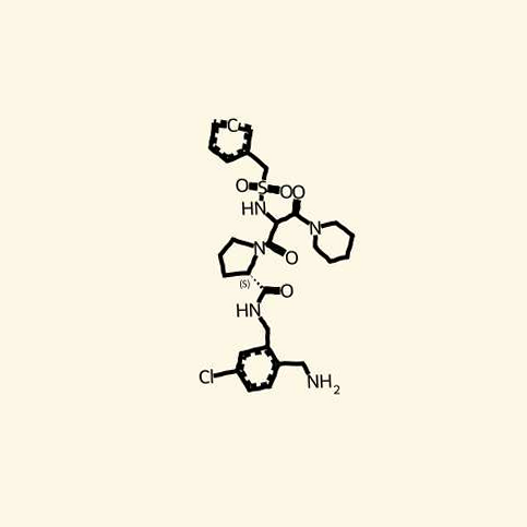 NCc1ccc(Cl)cc1CNC(=O)[C@@H]1CCCN1C(=O)C(NS(=O)(=O)Cc1ccccc1)C(=O)N1CCCCC1